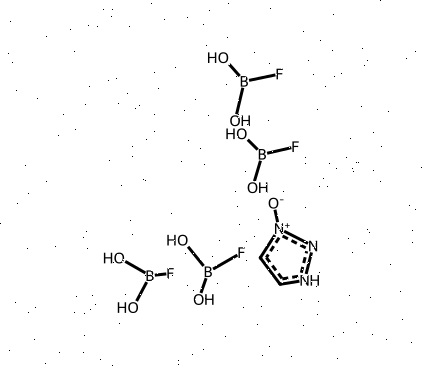 OB(O)F.OB(O)F.OB(O)F.OB(O)F.[O-][n+]1cc[nH]n1